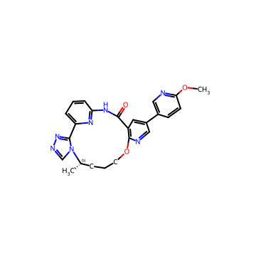 COc1ccc(-c2cnc3c(c2)C(=O)Nc2cccc(n2)-c2nncn2[C@@H](C)CCCO3)cn1